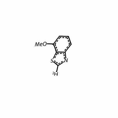 [2H]c1nc2cccc(OC)c2s1